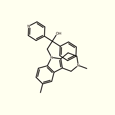 Cc1ccc2c(c1)c1c(n2CC(O)(c2ccccc2)c2ccncc2)CCN(C)C1